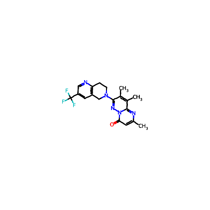 Cc1cc(=O)n2nc(N3CCc4ncc(C(F)(F)F)cc4C3)c(C)c(C)c2n1